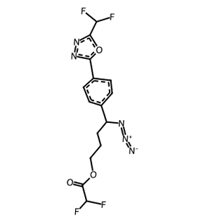 [N-]=[N+]=NC(CCCOC(=O)C(F)F)c1ccc(-c2nnc(C(F)F)o2)cc1